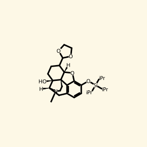 CC(C)[Si](Oc1ccc2c3c1O[C@H]1C(C4OCCO4)CC[C@@]4(O)[C@@H](C2)N(C)CC[C@]314)(C(C)C)C(C)C